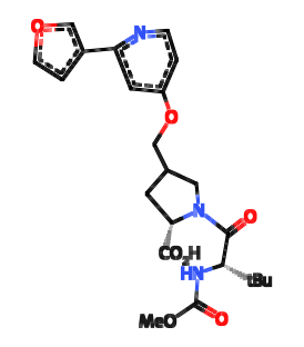 COC(=O)N[C@H](C(=O)N1CC(COc2ccnc(-c3ccoc3)c2)C[C@H]1C(=O)O)C(C)(C)C